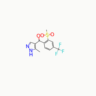 Cc1[nH]ncc1C(=O)c1ccc(C(F)(F)F)cc1S(C)(=O)=O